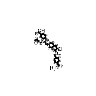 NC(=O)c1ccc(COc2nc3c(cc2Cl)CCN(Cc2nc4ccc(C(=O)O)cc4n2C[C@@H]2CCO2)C3)c(F)c1